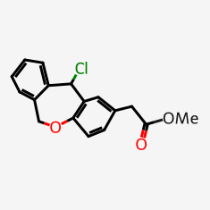 COC(=O)Cc1ccc2c(c1)C(Cl)c1ccccc1CO2